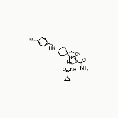 N#CC[C@]1(n2cc(C(N)=O)c(NC(=O)C3CC3)n2)CC[C@@H](NCc2ccc(C#N)cc2)CC1